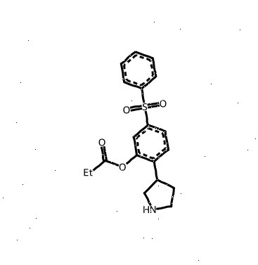 CCC(=O)Oc1cc(S(=O)(=O)c2ccccc2)ccc1C1CCNC1